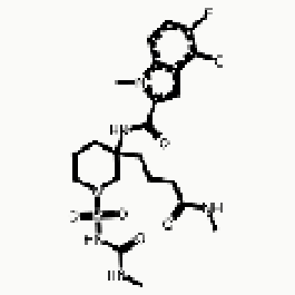 CNC(=O)CCCC1(NC(=O)c2cc3c(Cl)c(F)ccc3n2C)CCCN(S(=O)(=O)NC(=O)NC)C1